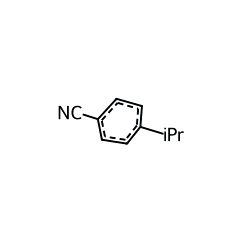 [CH2]C(C)c1ccc(C#N)cc1